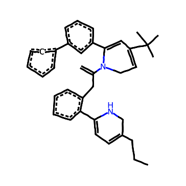 C=C(Cc1ccccc1C1=CC=C(CCC)CN1)N1CC=C(C(C)(C)C)C=C1c1cccc(-c2ccccc2)c1